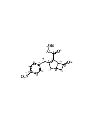 CC(C)(C)OC(=O)C1=C(Sc2ccc([N+](=O)[O-])cc2)CC2CC(=O)N12